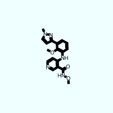 CONC(=O)c1cnccc1Nc1cccc(-c2ccn(C)n2)c1OC